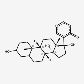 C[C@]12CCC(O)CC1CC[C@@H]1[C@H]2CC[C@]2(C)C(O)(c3coccc3=O)CC[C@@]12O